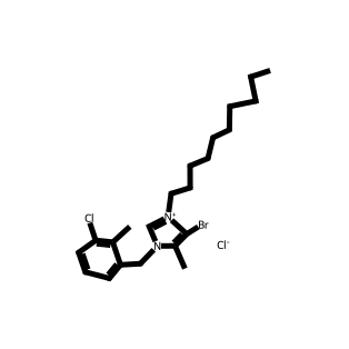 CCCCCCCCCC[n+]1cn(Cc2cccc(Cl)c2C)c(C)c1Br.[Cl-]